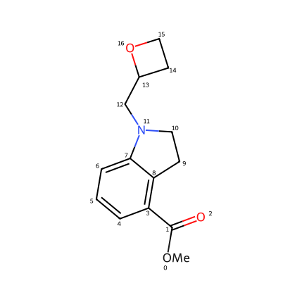 COC(=O)c1cccc2c1CCN2CC1CCO1